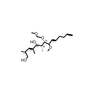 C=CCC/C=C/C(OC)[C@@H](OCOC)[C@H](C)[C@@H](O)/C(C)=C/[C@H](C)CO